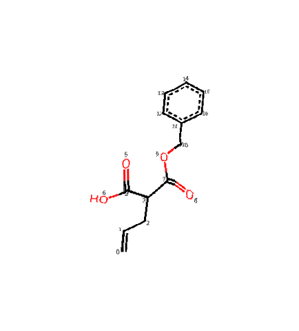 C=CCC(C(=O)O)C(=O)OCc1ccccc1